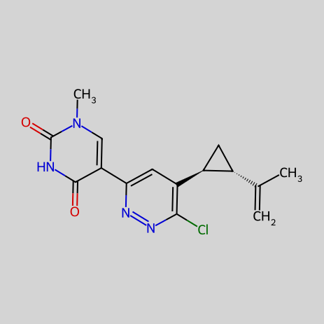 C=C(C)[C@H]1C[C@@H]1c1cc(-c2cn(C)c(=O)[nH]c2=O)nnc1Cl